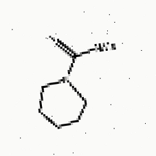 CNC(=S)N1CCCCC1